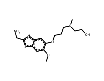 COc1cc2sc(CN)nc2cc1OCCCN(C)CCO